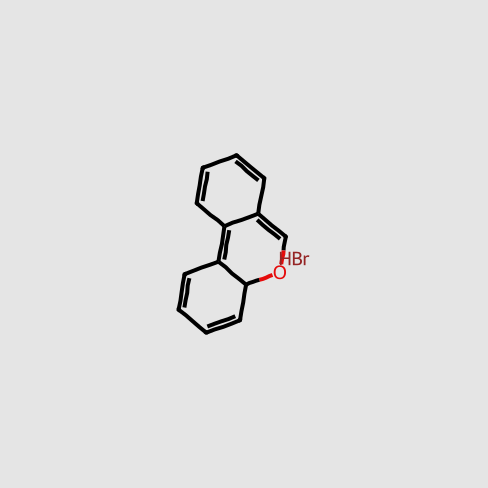 Br.C1=CC2=c3ccccc3=COC2C=C1